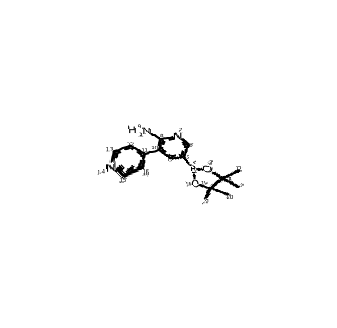 CC1(C)OB(c2cnc(N)c(-c3ccncc3)c2)OC1(C)C